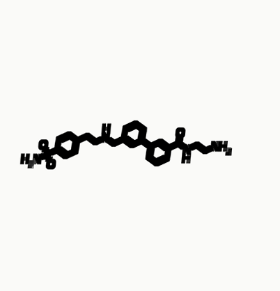 NCCNC(=O)c1cccc(-c2cccc(CNCCc3ccc(S(N)(=O)=O)cc3)c2)c1